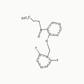 CCOC(=O)CCC(=O)c1ccccc1OCc1c(F)cccc1F